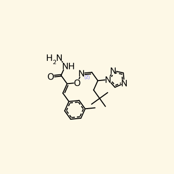 Cc1cccc(C=C(O/N=C\C(CC(C)(C)C)n2cncn2)C(=O)NN)c1